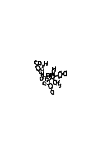 CCC(OC(c1ccc(Cl)cc1Cl)c1n[nH]c(-c2ccc(Cl)cc2)c1C)C(=O)NCc1ccc(C(=O)O)cc1